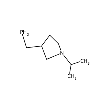 CC(C)N1CCC(CP)C1